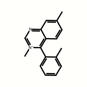 Cc1ccc2c(-c3ccccc3C)[n+](C)cnc2c1